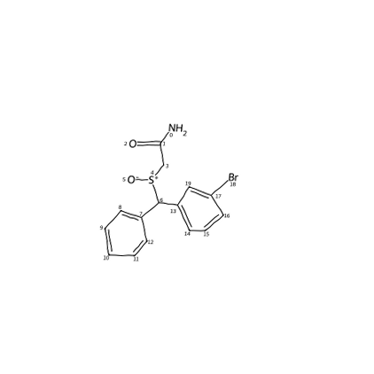 NC(=O)C[S+]([O-])C(c1ccccc1)c1cccc(Br)c1